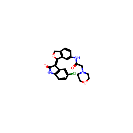 O=C(CN1CCOCC1)Nc1ccc2c(c1)/C(=C1/C(=O)Nc3ccc(Cl)cc31)OC2